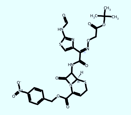 CC(C)(C)OC(=O)CO/N=C(/C(=O)NC1C(=O)N2C(C(=O)OCc3ccc([N+](=O)[O-])cc3)=CCS[C@H]12)c1csc(NC=O)n1